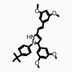 COc1cc(C=CC2=CC(c3cc(OC)cc(OC)c3)N(c3ccc(C(C)(C)C)cc3)N2)cc(OC)c1